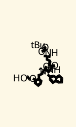 CN(CCc1ccccc1OCCO)C(=O)[C@@H](Cc1ccc2ccccc2c1)NC(=O)C=CCC(C)(C)NC(=O)OC(C)(C)C